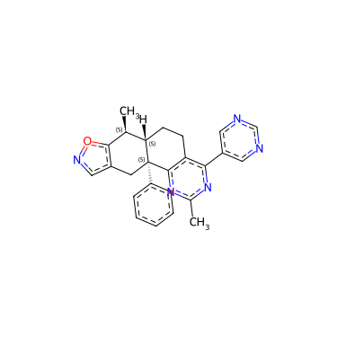 Cc1nc(-c2cncnc2)c2c(n1)[C@@]1(c3ccccc3)Cc3cnoc3[C@@H](C)[C@@H]1CC2